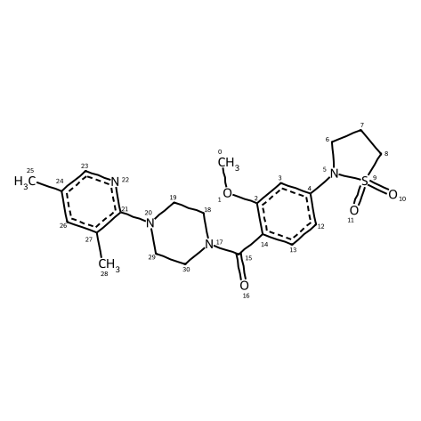 COc1cc(N2CCCS2(=O)=O)ccc1C(=O)N1CCN(c2ncc(C)cc2C)CC1